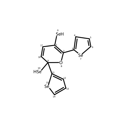 [SeH]C1=C(c2ccc[se]2)OC([SeH])(c2ccc[se]2)C=C1